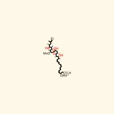 CC/C=C(\C)C[C@H](C)[C@H](O)[C@@H](C)[C@H]1O[C@@]2(C[C@@H](OC)[C@H]1C)O[C@H]([C@@H](C)[C@@H](O)[C@@H](C)\C=C/C=C/C=C\C=C\C=C/[C@H](CC(=O)O)OC)[C@@H](C)C[C@@H]2O